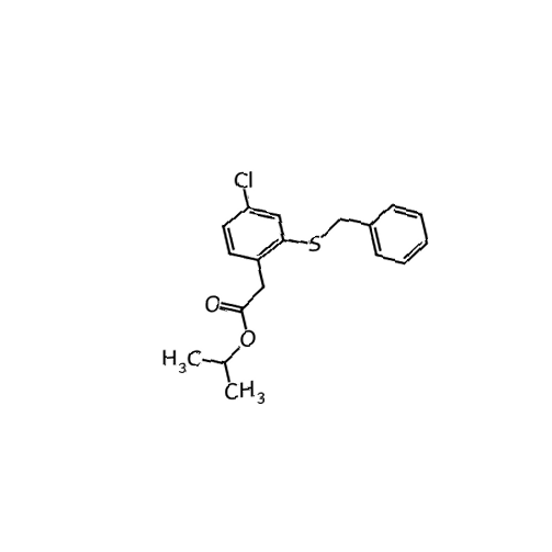 CC(C)OC(=O)Cc1ccc(Cl)cc1SCc1ccccc1